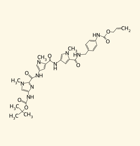 C=CCOC(=O)Nc1ccc(CNC(=O)c2cc(NC(=O)c3cc(NC(=O)c4nc(NC(=O)OC(C)(C)C)cn4C)cn3C)cn2C)cc1